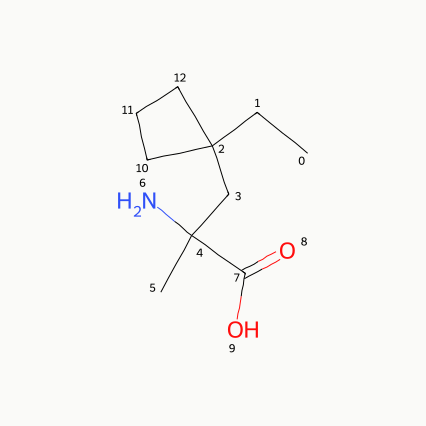 CCC1(CC(C)(N)C(=O)O)CCC1